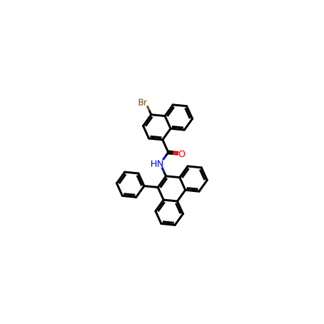 O=C(Nc1c(-c2ccccc2)c2ccccc2c2ccccc12)c1ccc(Br)c2ccccc12